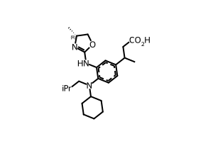 CC(C)CN(c1ccc(C(C)CC(=O)O)cc1NC1=N[C@H](C)CO1)C1CCCCC1